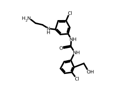 NCCNc1cc(Cl)cc(NC(=O)Nc2cccc(Cl)c2CO)c1